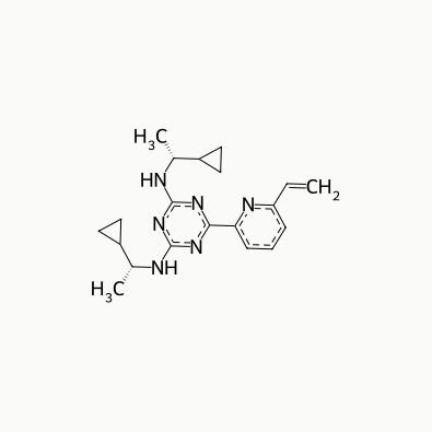 C=Cc1cccc(-c2nc(N[C@H](C)C3CC3)nc(N[C@H](C)C3CC3)n2)n1